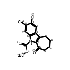 CC(C)(C)OC(=O)n1c2c(c3cc(Cl)c(Cl)cc31)CCCCC2=O